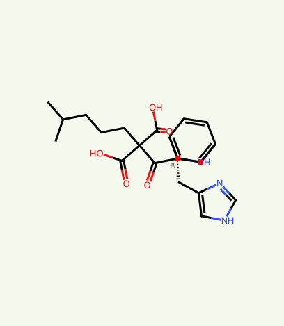 CC(C)CCCC(C(=O)O)(C(=O)O)C(=O)[C@]1(Cc2c[nH]cn2)Nc2ccc1cc2